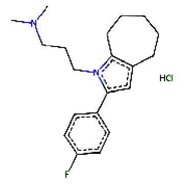 CN(C)CCCn1c(-c2ccc(F)cc2)cc2c1CCCCC2.Cl